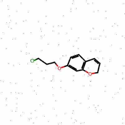 ClCCCOc1ccc2c(c1)OCC=C2